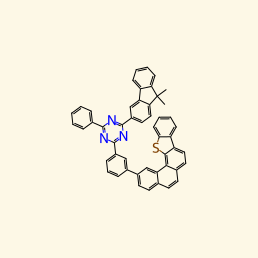 CC1(C)c2ccccc2-c2cc(-c3nc(-c4ccccc4)nc(-c4cccc(-c5ccc6ccc7ccc8c9ccccc9sc8c7c6c5)c4)n3)ccc21